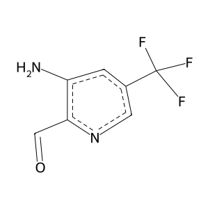 Nc1cc(C(F)(F)F)cnc1C=O